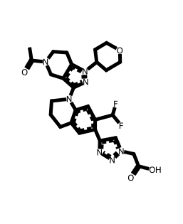 CC(=O)N1CCc2c(c(N3CCCc4cc(-c5cn(CC(=O)O)nn5)c(C(F)F)cc43)nn2C2CCOCC2)C1